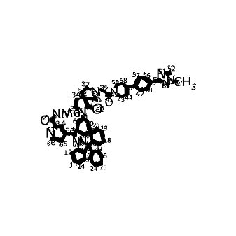 CNC(=O)c1cc(-c2nn(C(c3ccccc3)(c3ccccc3)c3ccccc3)c3ccc(N4CC[C@]5(CCN(CC(=O)N6CC=C(c7ccc(-c8ncn(C)n8)cc7)CC6)C5)C4=O)cc23)ccn1